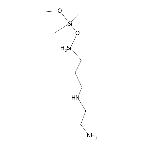 CO[Si](C)(C)O[SiH2]CCCNCCN